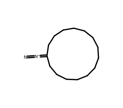 [N-]=[N+]=C1CCCCCCCCCCCCCC1